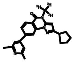 [2H]C([2H])([2H])n1c(=O)c2ccc(-c3cc(C)nc(C)c3)cc2n2nc(C3CCCC3)cc12